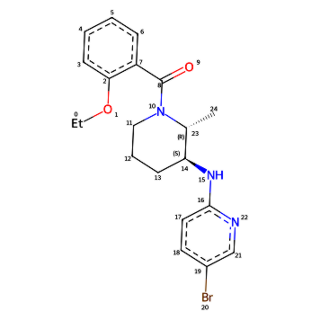 CCOc1ccccc1C(=O)N1CCC[C@H](Nc2ccc(Br)cn2)[C@H]1C